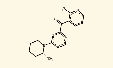 C[C@@H]1CCCCN1c1cccc(C(=O)c2cccnc2N)n1